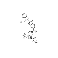 Cn1c(-c2cc3cccnc3n2CC2CC2)nc2cc(C(=O)N3CC[C@@H](OS(C)(=O)=O)[C@H](NC(=O)OC(C)(C)C)C3)ccc21